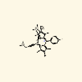 CCC1=C(C)/C(=C(\c2ccc(I)cc2)c2c(C)c(CC)c(C)n2B(C#CCN(C)C)C#CCN(C)C)N(C)C1(C)C